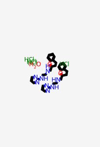 Cl.Cl.Cl.Cl.O.c1cnc(NCCNCC2CCc3ccccc3O2)nc1.c1cnc(NCCNCC2CCc3ccccc3O2)nc1